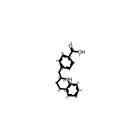 O=C(O)c1ccc(CC2CCc3ccccc3N2)cc1